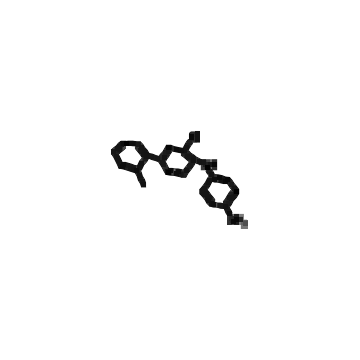 Cc1ccccc1-c1ccc(Nc2ccc(N)cc2)c(Cl)c1